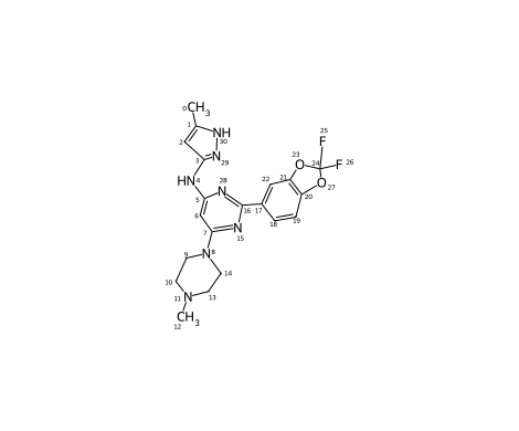 Cc1cc(Nc2cc(N3CCN(C)CC3)nc(-c3ccc4c(c3)OC(F)(F)O4)n2)n[nH]1